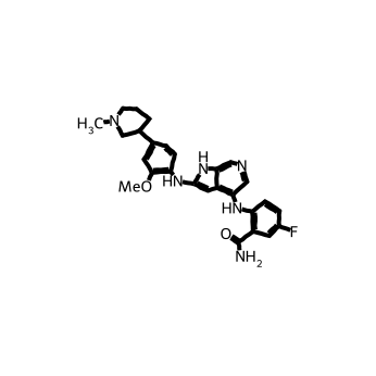 COc1cc(C2CCCN(C)C2)ccc1Nc1cc2c(Nc3ccc(F)cc3C(N)=O)cncc2[nH]1